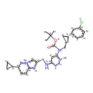 CC(C)(C)OC(=O)N(C[C@H]1C[C@@H]1c1cccc(Cl)c1)c1cc(NCc2cn3cc(C4CC4)ccc3n2)ncn1